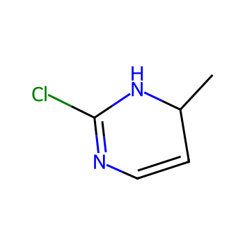 CC1C=CN=C(Cl)N1